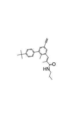 C#Cc1cc(/C=C(\C)C(=O)NCCC)c(C)c(-c2ccc(C(C)(C)C)cc2)c1